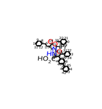 CC(C)CN(C[C@H](CCc1ccccc1)C(=O)OCc1ccccc1)C(=O)N[C@H](C(=O)O)C(Cc1ccccc1)c1ccc(-c2ccccc2)cc1